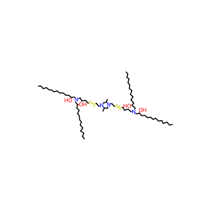 CCCCCCCCCCCCC(O)CN(CCCCSSCCN1CC(C)N(CCSSCCCCN(CC(O)CCCCCCCCCCCC)CC(O)CCCCCCCCCCCC)CC1C)CC(O)CCCCCCCCCCCC